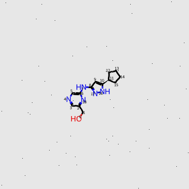 OCc1cncc(Nc2cc([C@H]3C[CH]CC3)[nH]n2)n1